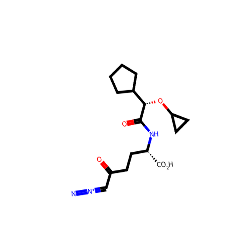 [N-]=[N+]=CC(=O)CC[C@H](NC(=O)[C@@H](OC1CC1)C1CCCC1)C(=O)O